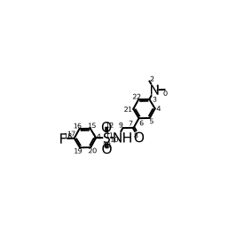 CN(C)c1ccc(C(=O)CNS(=O)(=O)c2ccc(F)cc2)cc1